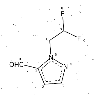 O=Cc1ccnn1CC(F)F